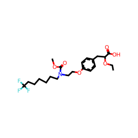 CCOC(Cc1ccc(OCCN(CCCCCCC(F)(F)F)C(=O)OC)cc1)C(=O)O